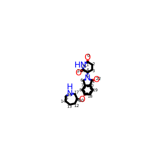 O=C1CCC(N2Cc3cc(O[C@@H]4CCCCNC4)ccc3C2=O)C(=O)N1